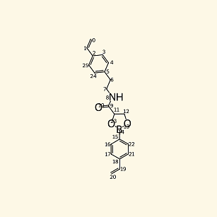 C=Cc1ccc(CCNC(=O)C2COB(c3ccc(C=C)cc3)O2)cc1